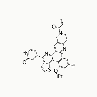 C=CC(=O)N1CCc2ncc(-c3nc(-c4ccn(C)c(=O)c4)c4ccsc4c3-c3c(F)cc(F)cc3OC(C)C)cc2C1